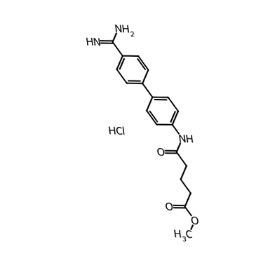 COC(=O)CCCC(=O)Nc1ccc(-c2ccc(C(=N)N)cc2)cc1.Cl